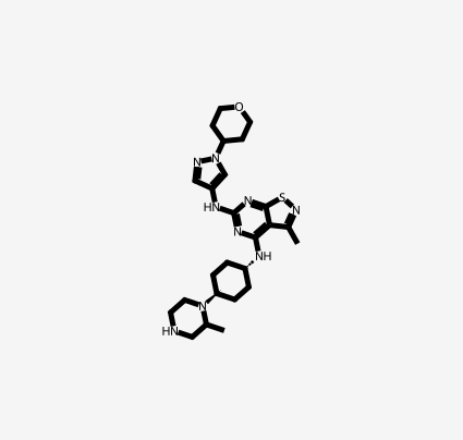 Cc1nsc2nc(Nc3cnn(C4CCOCC4)c3)nc(N[C@H]3CC[C@H](N4CCNCC4C)CC3)c12